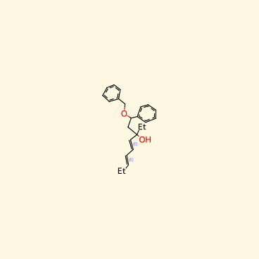 CC/C=C/C=C/C(O)(CC)CC(OCc1ccccc1)c1ccccc1